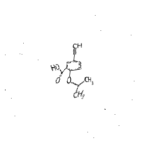 C#Cc1ccc(OC(C)C)c(C(=O)O)c1